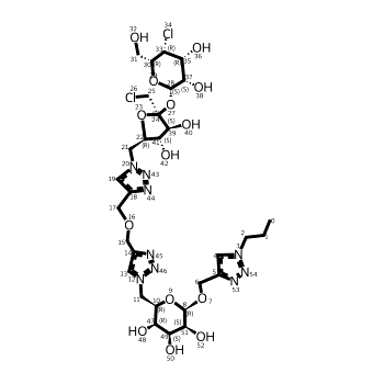 CCCn1cc(CO[C@@H]2O[C@H](Cn3cc(COCc4cn(C[C@H]5O[C@@](CCl)(O[C@@H]6O[C@H](CO)[C@H](Cl)[C@H](O)[C@@H]6O)[C@@H](O)[C@@H]5O)nn4)nn3)[C@H](O)[C@H](O)[C@@H]2O)nn1